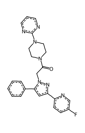 O=C(Cn1nc(-c2ccc(F)cn2)cc1-c1ccccc1)N1CCN(c2ncccn2)CC1